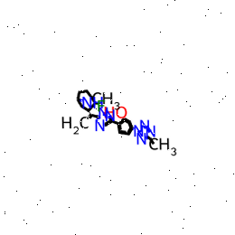 C=C(c1ncc(-c2ccc(-n3nnc(C)n3)cc2O)nn1)[C@@H]1CC2CC[C@](C)(N2)[C@H]1F